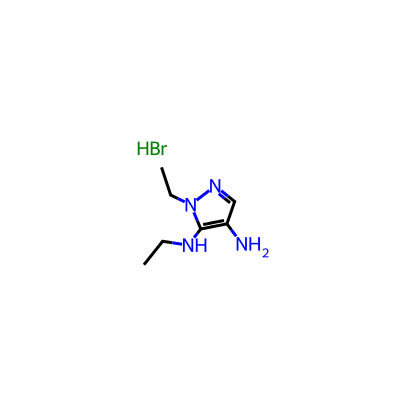 Br.CCNc1c(N)cnn1CC